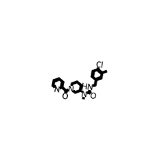 Cc1cc(CNC(=O)N(C)[C@@H]2CCCN(C(=O)c3ccccn3)C2)ccc1Cl